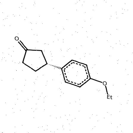 CCOc1ccc([C@@H]2CCC(=O)C2)cc1